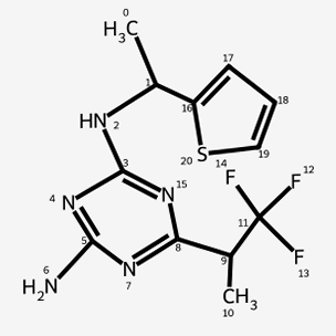 CC(Nc1nc(N)nc(C(C)C(F)(F)F)n1)c1cccs1